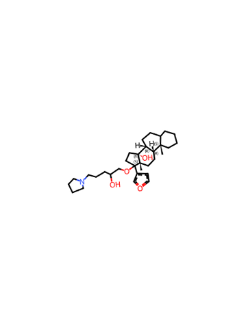 C[C@]12CCCCC1CC[C@@H]1[C@H]2CC[C@]2(C)C(OCC(O)CCCN3CCCC3)(c3ccoc3)CC[C@@]12O